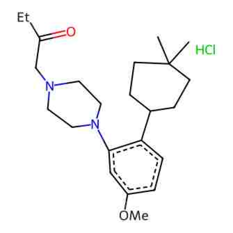 CCC(=O)CN1CCN(c2cc(OC)ccc2C2CCC(C)(C)CC2)CC1.Cl